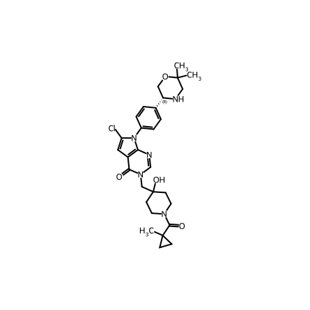 CC1(C)CN[C@H](c2ccc(-n3c(Cl)cc4c(=O)n(CC5(O)CCN(C(=O)C6(C)CC6)CC5)cnc43)cc2)CO1